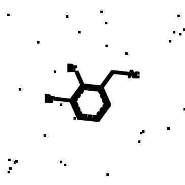 CC(=O)Cc1cccc(Br)c1Br